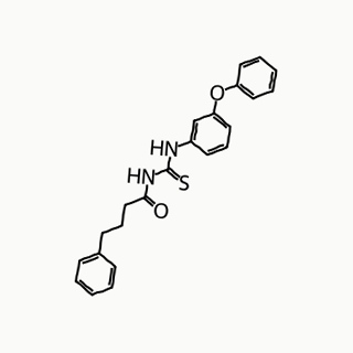 O=C(CCCc1ccccc1)NC(=S)Nc1cccc(Oc2ccccc2)c1